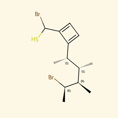 C[C@H]([C@@H](C)[C@@H](C)Br)[C@H](C)C1=CC=C1C(S)Br